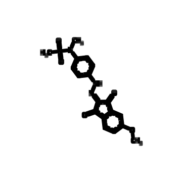 COc1ccc2c(=O)c(=NNc3ccc(N(C)S(C)(=O)=O)cc3)c(=O)c2c1